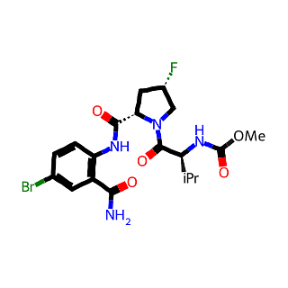 COC(=O)N[C@H](C(=O)N1C[C@@H](F)C[C@H]1C(=O)Nc1ccc(Br)cc1C(N)=O)C(C)C